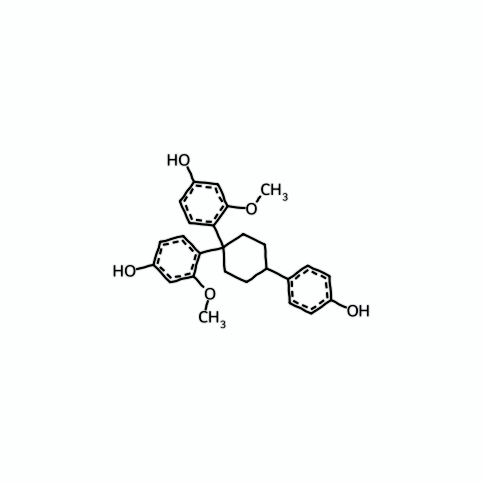 COc1cc(O)ccc1C1(c2ccc(O)cc2OC)CCC(c2ccc(O)cc2)CC1